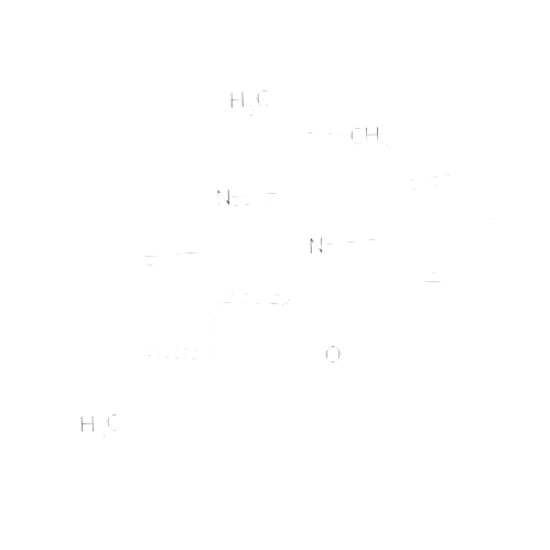 Cc1ccc2nc(C(C)C)n(-c3ccccc3)c(=O)c2c1